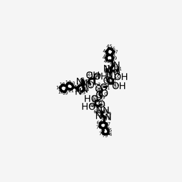 O=P(OC[C@H]1O[C@@H](n2cnc3c(-c4ccc5ccccc5c4)ncnc32)[C@H](O)[C@@H]1O)(OC[C@H]1O[C@@H](n2cnc3c(-c4ccc5ccccc5c4)ncnc32)[C@H](O)[C@@H]1O)OC[C@H]1O[C@@H](n2cnc3c(-c4ccc5ccccc5c4)ncnc32)[C@H](O)[C@@H]1O